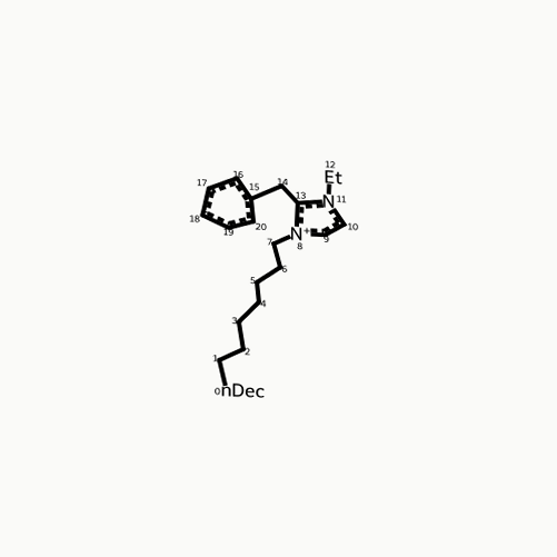 CCCCCCCCCCCCCCCCC[n+]1ccn(CC)c1Cc1ccccc1